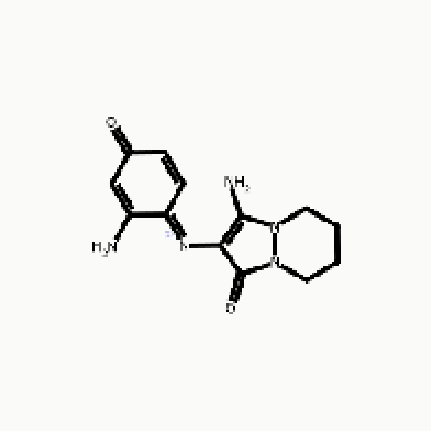 NC1=CC(=O)C=C/C1=N\c1c(N)n2n(c1=O)CCCC2